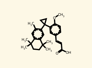 COc1ccc(C=CC(=O)O)cc1C1(c2cc3c(cc2C)C(C)(C)CCC3(C)C)CC1